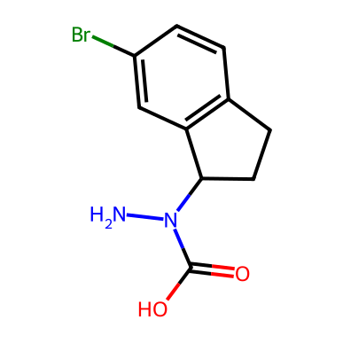 NN(C(=O)O)C1CCc2ccc(Br)cc21